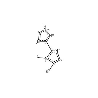 Cn1c(Br)cnc1-c1nc[nH]n1